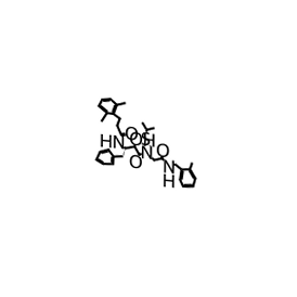 Cc1ccccc1CNC(=O)CN(CSC(C)C)C(=O)[C@@H](O)[C@H](Cc1ccccc1)NC(=O)CCc1c(C)cccc1C